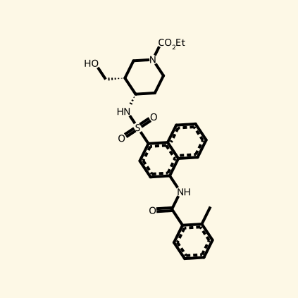 CCOC(=O)N1CC[C@H](NS(=O)(=O)c2ccc(NC(=O)c3ccccc3C)c3ccccc23)[C@H](CO)C1